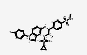 CNS(=O)(=O)c1ccc([C@@H](Oc2ccc3c(cnn3-c3ccc(F)cc3)c2)[C@H](C)NS(=O)(=O)C2CC2)cc1